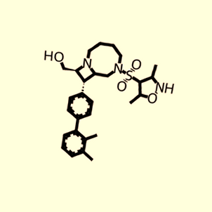 Cc1cccc(-c2ccc([C@H]3C4CN(S(=O)(=O)C5C(C)NOC5C)CCCCN4[C@@H]3CO)cc2)c1C